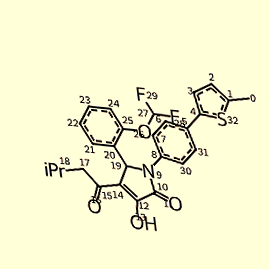 Cc1ccc(-c2ccc(N3C(=O)C(O)=C(C(=O)CC(C)C)C3c3ccccc3OC(F)F)cc2)s1